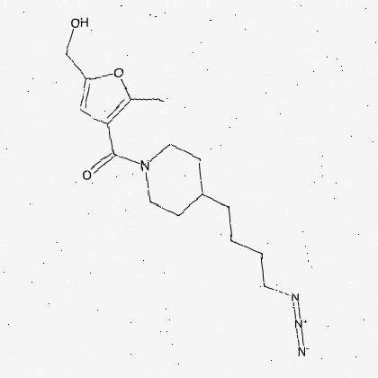 Cc1oc(CO)cc1C(=O)N1CCC(CCCCN=[N+]=[N-])CC1